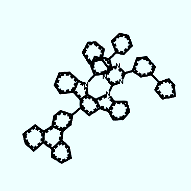 c1ccc(-c2ccc(-n3c4ccccc4c4c(-c5ccc6c7ccccc7c7ccccc7c6c5)cc5c6ccccc6n(-c6nc(-c7ccccc7)nc(-c7cccc(-c8ccccc8)c7)n6)c5c43)cc2)cc1